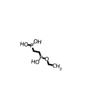 CCOP(O)CCP(O)O